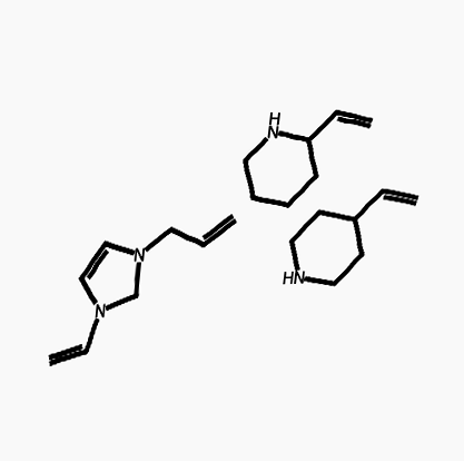 C=CC1CCCCN1.C=CC1CCNCC1.C=CCN1C=CN(C=C)C1